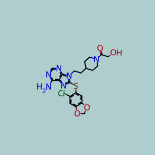 Nc1ncnc2c1nc(Sc1cc3c(cc1Cl)OCO3)n2CCC1CCN(C(=O)CO)CC1